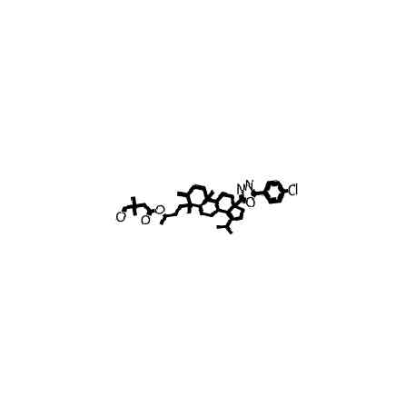 CC(CCC1(C)C(C)CCC2(C)C3CCC4(c5nnc(-c6ccc(Cl)cc6)o5)CCC(C(C)C)=C4C3CCC12)OC(=O)CC(C)(C)C=O